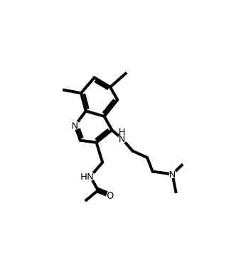 CC(=O)NCc1cnc2c(C)cc(C)cc2c1NCCCN(C)C